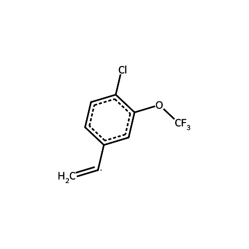 C=[C]c1ccc(Cl)c(OC(F)(F)F)c1